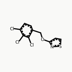 Clc1ccc(COc2ccsn2)c(Cl)c1Cl